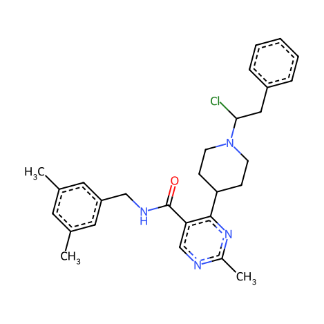 Cc1cc(C)cc(CNC(=O)c2cnc(C)nc2C2CCN(C(Cl)Cc3ccccc3)CC2)c1